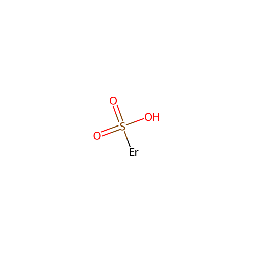 O=[S](=O)(O)[Er]